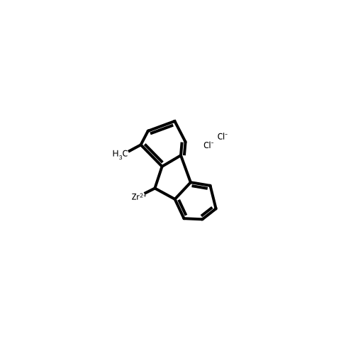 Cc1cccc2c1[CH]([Zr+2])c1ccccc1-2.[Cl-].[Cl-]